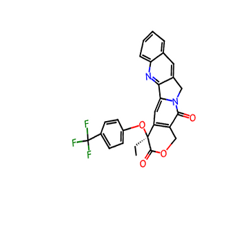 CC[C@@]1(Oc2ccc(C(F)(F)F)cc2)C(=O)OCc2c1cc1n(c2=O)Cc2cc3ccccc3nc2-1